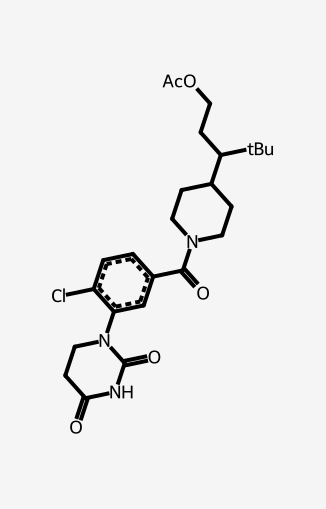 CC(=O)OCCC(C1CCN(C(=O)c2ccc(Cl)c(N3CCC(=O)NC3=O)c2)CC1)C(C)(C)C